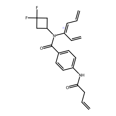 C=C/C=C(\C=C)N(C(=O)c1ccc(NC(=O)CC=C)cc1)C1CC(F)(F)C1